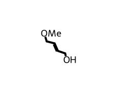 COC/C=C/CO